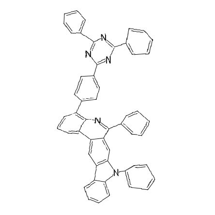 c1ccc(-c2nc(-c3ccccc3)nc(-c3ccc(-c4cccc5c4nc(-c4ccccc4)c4cc6c(cc45)c4ccccc4n6-c4ccccc4)cc3)n2)cc1